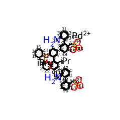 CC(C)c1cc(C(C)C)c(-c2ccccc2P(C2CCCCC2)C2CCCCC2)c(C(C)C)c1.Nc1ccccc1-c1ccccc1CS(=O)(=O)[O-].Nc1ccccc1-c1ccccc1CS(=O)(=O)[O-].[Pd+2]